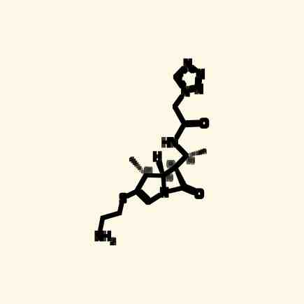 C[C@@H](NC(=O)Cn1cnnn1)[C@H]1C(=O)N2C=C(SCCN)[C@H](C)[C@H]12